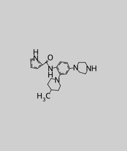 CC1CCN(c2cc(N3CCNCC3)ccc2NC(=O)c2ccc[nH]2)CC1